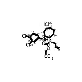 C=CCN(C(=O)OCC(Cl)(Cl)Cl)[C@@H]1CCCCC[C@H]1Nc1ccc(Cl)c(Cl)c1.Cl